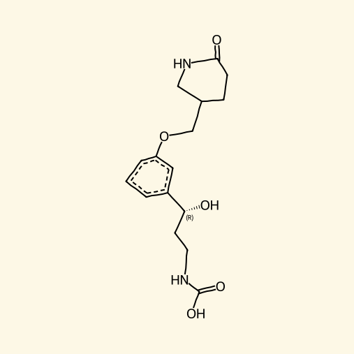 O=C(O)NCC[C@@H](O)c1cccc(OCC2CCC(=O)NC2)c1